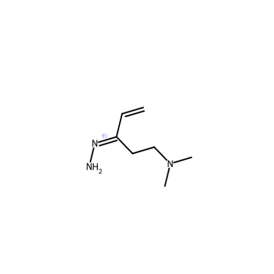 C=C/C(CCN(C)C)=N/N